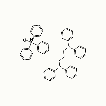 Cl[PH](c1ccccc1)(c1ccccc1)c1ccccc1.c1ccc(P(CCCP(c2ccccc2)c2ccccc2)c2ccccc2)cc1